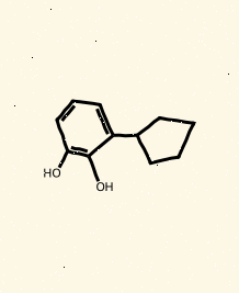 Oc1cccc(C2CCCC2)c1O